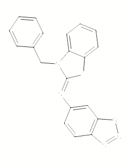 [c]1cc(N=c2sc3ccccc3n2Cc2ccccc2)cc2[nH]nnc12